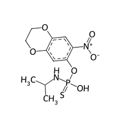 CC(C)NP(O)(=S)Oc1cc2c(cc1[N+](=O)[O-])OCCO2